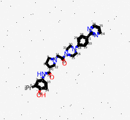 CC(C)c1cc(NC(=O)[C@@H]2CCN(CC(=O)N3CCN(c4ccc(-c5ncccn5)cc4)CC3)C2)ccc1O